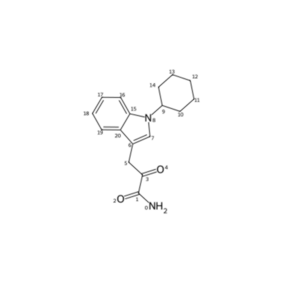 NC(=O)C(=O)Cc1cn(C2CCCCC2)c2ccccc12